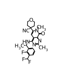 Cc1nc(N[C@H](C)c2cccc(C(F)F)c2F)c2cc(C3(C#N)CCOCC3)n(C)c(=O)c2n1